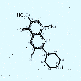 CC(C)(C)n1cc(C(=O)O)c(=O)c2cc(F)c(N3CCNCC3)nc21